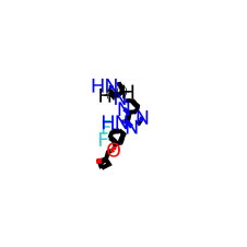 Fc1c(Nc2ncnc3ccc(N4C[C@@H]5C[C@H]4CN5)nc23)ccc(OCC23CC(C2)C3)c1F